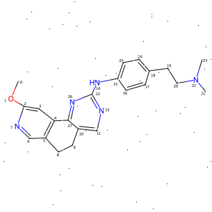 COc1cc2c(cn1)CCc1cnc(Nc3ccc(CCN(C)C)cc3)nc1-2